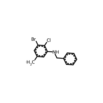 [CH2]c1cc(Br)c(Cl)c(NCc2ccccc2)c1